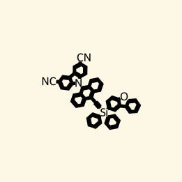 N#Cc1ccc2c(c1)c1cc(C#N)ccc1n2-c1c2ccccc2c(C#C[Si](c2ccccc2)(c2ccccc2)c2ccc3oc4ccccc4c3c2)c2ccccc12